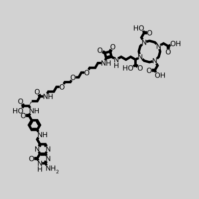 Nc1nc2ncc(CNc3ccc(C(=O)N[C@@H](CCC(=O)NCCCOCCOCCOCCCNc4c(NCCCC(C(=O)O)N5CCN(CC(=O)O)CCN(CC(=O)O)CCN(CC(=O)O)CC5)c(=O)c4=O)C(=O)O)cc3)nc2c(=O)[nH]1